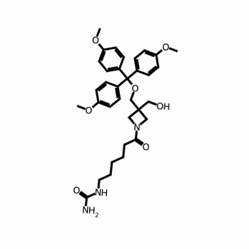 COc1ccc(C(OCC2(CO)CN(C(=O)CCCCCNC(N)=O)C2)(c2ccc(OC)cc2)c2ccc(OC)cc2)cc1